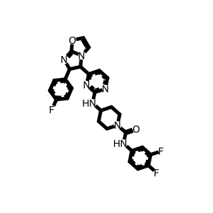 O=C(Nc1ccc(F)c(F)c1)N1CCC(Nc2nccc(C3C(c4ccc(F)cc4)N=C4OC=CN43)n2)CC1